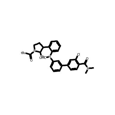 CC(C)C1C(c2ccccc2N(C=O)c2cccc(-c3ccc(C(=O)N(C)C)c(Cl)c3)c2)CCN1C(=O)C(C)(C)C